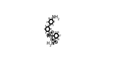 Nc1ccc(-c2cccc(S(=O)(=O)Nc3ccccc3S(N)(=O)=O)c2)cc1